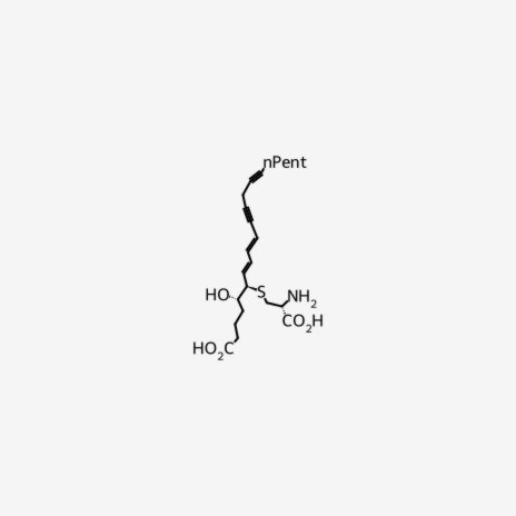 CCCCCC#CCC#C/C=C/C=C/[C@@H](SC[C@H](N)C(=O)O)[C@@H](O)CCCC(=O)O